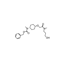 CN(CCCO)C(=O)CO[C@H]1CC[C@H](N(C)C(=O)OCc2ccccc2)CC1